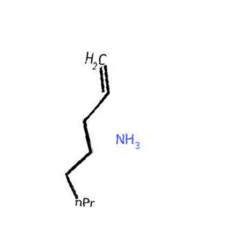 C=CCCCCCC.N